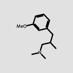 COc1cccc(CC(C)CN(C)C)c1